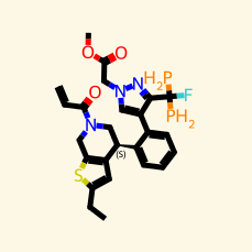 C=CC(=O)N1Cc2sc(CC)cc2[C@H](c2ccccc2-c2cn(CC(=O)OC)nc2C(F)(P)P)C1